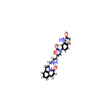 O=C1CSc2ccc(N3C[C@@H](CCNC[C@H]4Cc5cccc6ccc(=O)n4c56)OC3=O)cc2N1